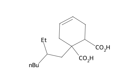 CCCCC(CC)CC1(C(=O)O)CC=CCC1C(=O)O